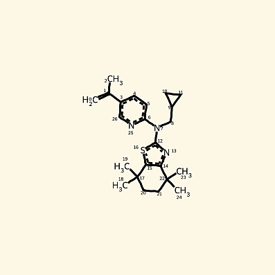 C=C(C)c1ccc(N(CC2CC2)c2nc3c(s2)C(C)(C)CCC3(C)C)nc1